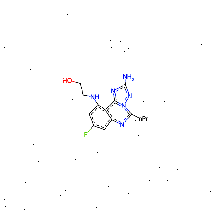 CCCc1nc2cc(F)cc(NCCO)c2c2nc(N)nn12